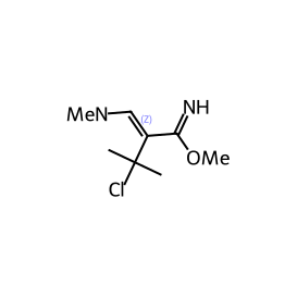 CN/C=C(/C(=N)OC)C(C)(C)Cl